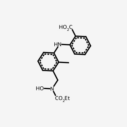 CCOC(=O)N(O)Cc1cccc(Nc2ccccc2C(=O)O)c1C